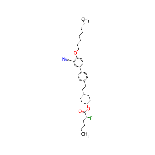 CCCCCCCCOc1ccc(-c2ccc(CC[C@H]3CC[C@H](OC(=O)[C@@H](F)CCCC)CC3)cc2)cc1C#N